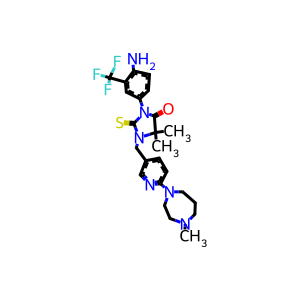 CN1CCCN(c2ccc(CN3C(=S)N(c4ccc(N)c(C(F)(F)F)c4)C(=O)C3(C)C)cn2)CC1